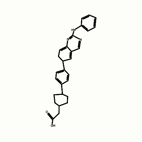 O=C(O)CC1CCC(c2ccc(C3C=c4cnc(Nc5ccccc5)nc4=CC3)cc2)CC1